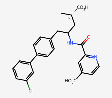 C[C@@H](CC(Cc1ccc(-c2cccc(Cl)c2)cc1)NC(=O)c1cc(C(=O)O)ccn1)C(=O)O